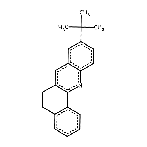 CC(C)(C)c1ccc2nc3c(cc2c1)CCc1ccccc1-3